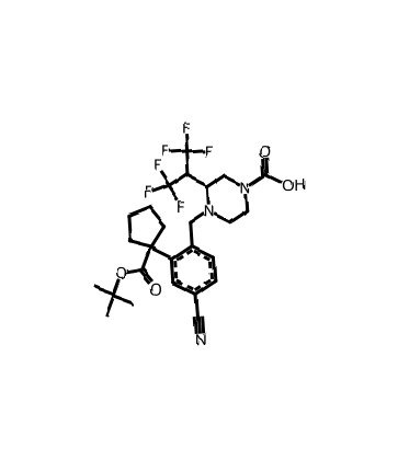 CC(C)(C)OC(=O)C1(c2cc(C#N)ccc2CN2CCN(C(=O)O)CC2C(C(F)(F)F)C(F)(F)F)CCCC1